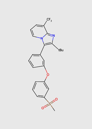 CC(C)(C)c1nc2c(C(F)(F)F)cccn2c1-c1cccc(Oc2cccc(S(C)(=O)=O)c2)c1